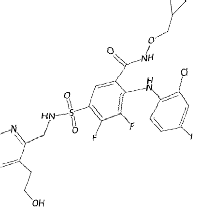 O=C(NOCC1CC1)c1cc(S(=O)(=O)NCc2ncccc2CCO)c(F)c(F)c1Nc1ccc(I)cc1Cl